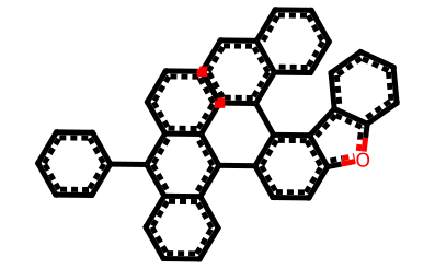 c1ccc(-c2c3ccccc3c(-c3ccc4oc5ccccc5c4c3-c3cccc4ccccc34)c3ccccc23)cc1